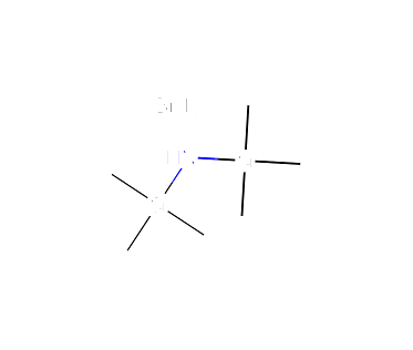 C[Si](C)(C)N[Si](C)(C)C.[BiH3]